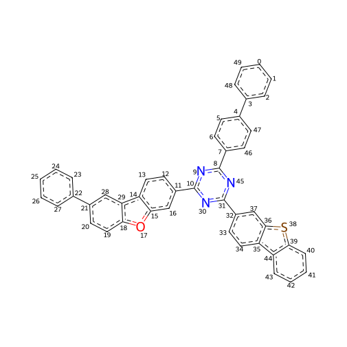 c1ccc(-c2ccc(-c3nc(-c4ccc5c(c4)oc4ccc(-c6ccccc6)cc45)nc(-c4ccc5c(c4)sc4ccccc45)n3)cc2)cc1